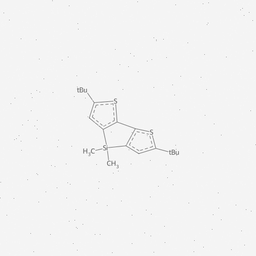 CC(C)(C)c1cc2c(s1)-c1sc(C(C)(C)C)cc1[Si]2(C)C